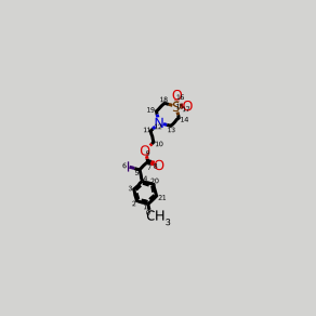 Cc1ccc(C(I)C(=O)OCCN2CCS(=O)(=O)CC2)cc1